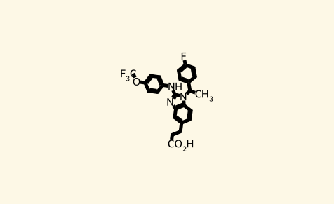 CC(c1ccc(F)cc1)n1c(Nc2ccc(OC(F)(F)F)cc2)nc2cc(CCC(=O)O)ccc21